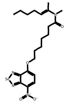 CCCCC=C(C)N(C)C(=O)CCCCCCOc1ccc([N+](=O)[O-])c2n[se]nc12